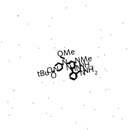 CNc1cc(-c2ccccc2/C(=N/N)NN)nc(N(CCOC)C2CCN(C(=O)OC(C)(C)C)CC2)c1